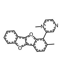 Cc1ccc2c(oc3c4ccccc4oc23)c1-c1cncc[n+]1C